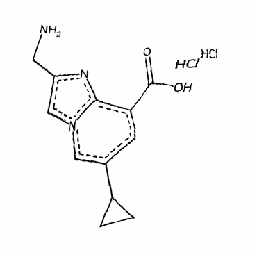 Cl.Cl.NCc1cn2cc(C3CC3)cc(C(=O)O)c2n1